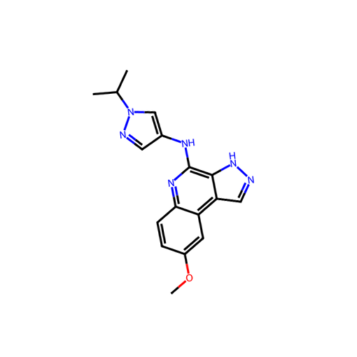 COc1ccc2nc(Nc3cnn(C(C)C)c3)c3[nH]ncc3c2c1